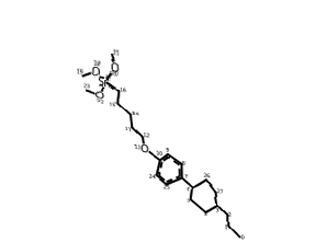 CCCC1CCC(c2ccc(OCCCCC[Si](OC)(OC)OC)cc2)CC1